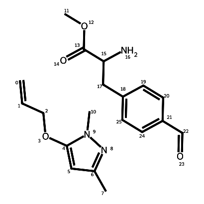 C=CCOc1cc(C)nn1C.COC(=O)C(N)Cc1ccc(C=O)cc1